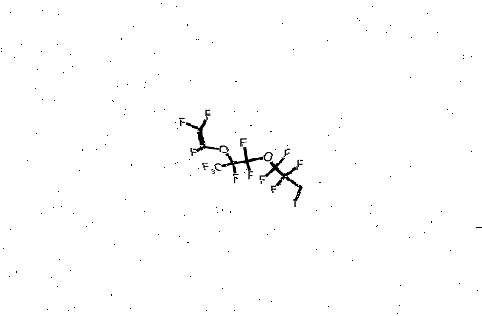 FC(F)=C(F)OC(F)(C(F)(F)F)C(F)(F)OC(F)(F)C(F)(F)CI